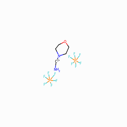 F[P-](F)(F)(F)(F)F.F[P-](F)(F)(F)(F)F.N[C+2]N1CCOCC1